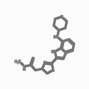 CNC(=O)CC1CSC(c2cc3cccc(NC4CCOCC4)c3[nH]2)=N1